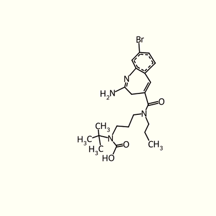 CCCN(CCCN(C(=O)O)C(C)(C)C)C(=O)C1=Cc2ccc(Br)cc2N=C(N)C1